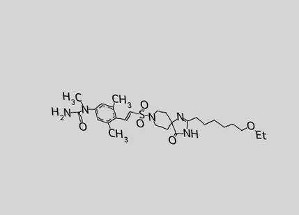 CCOCCCCCCC1=NC2(CCN(S(=O)(=O)/C=C/c3c(C)cc(N(C)C(N)=O)cc3C)CC2)C(=O)N1